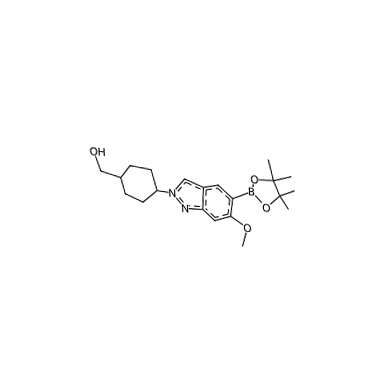 COc1cc2nn(C3CCC(CO)CC3)cc2cc1B1OC(C)(C)C(C)(C)O1